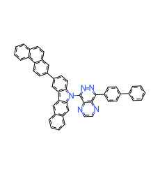 c1ccc(-c2ccc(-c3nnc(-n4c5ccc(-c6ccc7c(ccc8ccccc87)c6)cc5c5cc6ccccc6cc54)c4nccnc34)cc2)cc1